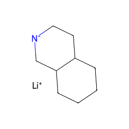 C1CCC2C[N-]CCC2C1.[Li+]